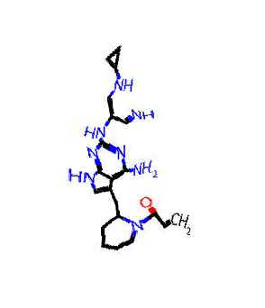 C=CC(=O)N1CCCCC1Cc1c[nH]c2nc(N/C(C=N)=C/NC3CC3)nc(N)c12